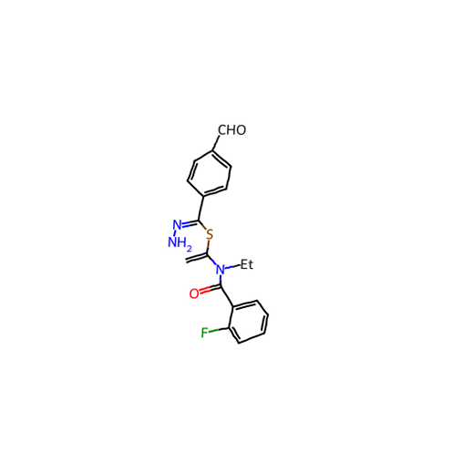 C=C(S/C(=N\N)c1ccc(C=O)cc1)N(CC)C(=O)c1ccccc1F